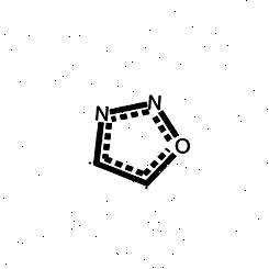 [c]1[c]onn1